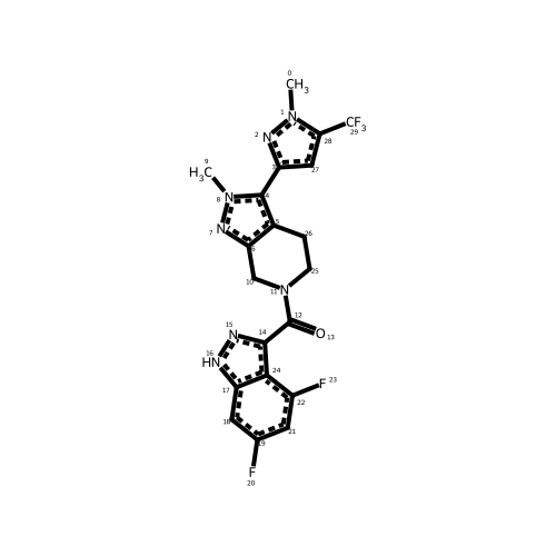 Cn1nc(-c2c3c(nn2C)CN(C(=O)c2n[nH]c4cc(F)cc(F)c24)CC3)cc1C(F)(F)F